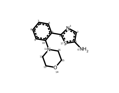 Nc1cnc(-c2ccccc2N2CCOCC2)s1